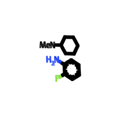 CNC1CCCCC1.Nc1ccccc1F